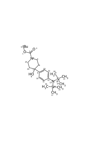 CC(C)(C)OC(=O)N1CCC(O)(c2ccc(N([Si](C)(C)C)[Si](C)(C)C)cc2)CC1